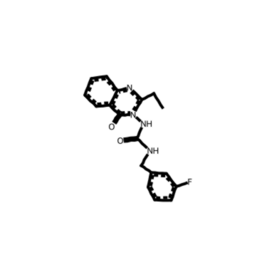 CCc1nc2ccccc2c(=O)n1NC(=O)NCc1cccc(F)c1